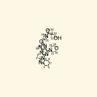 CCc1nc2ccccc2n1-c1nc(N2CCOCC2)c2nc(OC3CN(C(=O)C(C)(C)CO)C3)n(C)c2n1